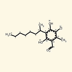 CCCCCCC(C)c1c(O)c(Cl)c(C)c(C=O)c1O